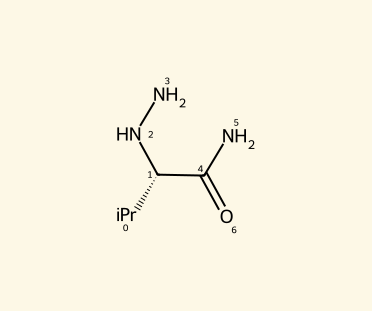 CC(C)[C@H](NN)C(N)=O